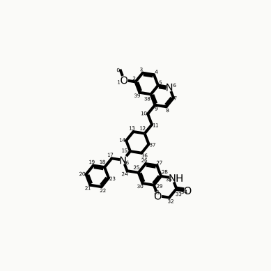 COc1ccc2nccc(CCC3CCC(N(Cc4ccccc4)Cc4ccc5c(c4)OCC(=O)N5)CC3)c2c1